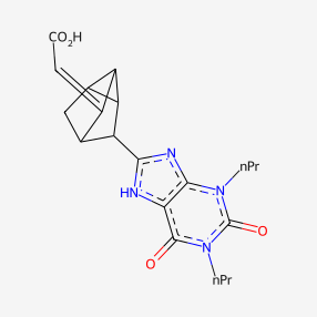 CCCn1c(=O)c2[nH]c(C3C4CC5C(C4=CC(=O)O)C53)nc2n(CCC)c1=O